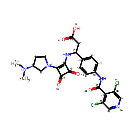 CN(C)[C@H]1CCN(c2c(NC(CC(=O)O)c3ccc(NC(=O)c4c(Cl)cncc4Cl)cc3)c(=O)c2=O)C1